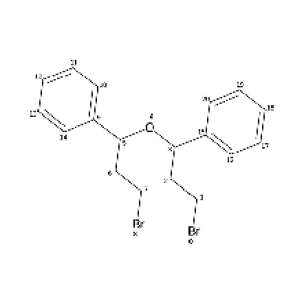 BrCCC(OC(CCBr)c1ccccc1)c1ccccc1